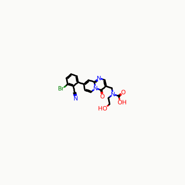 N#Cc1c(Br)cccc1-c1ccn2c(=O)c(CN(CCO)C(=O)O)cnc2c1